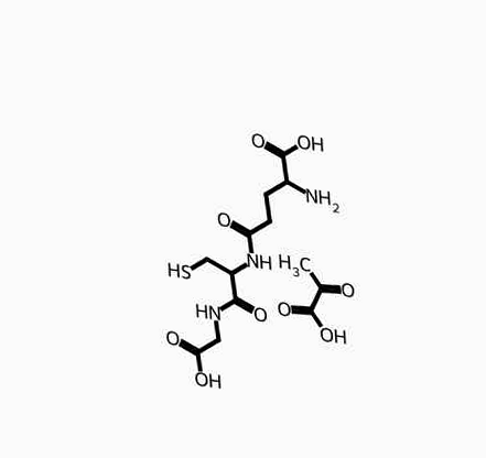 CC(=O)C(=O)O.NC(CCC(=O)NC(CS)C(=O)NCC(=O)O)C(=O)O